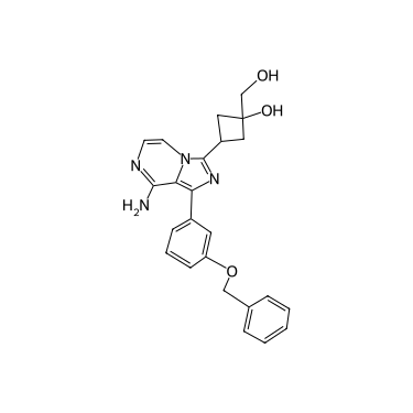 Nc1nccn2c(C3CC(O)(CO)C3)nc(-c3cccc(OCc4ccccc4)c3)c12